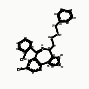 Clc1ccc2c(c1)C(c1ccccc1Cl)=NC(CSSCc1ccccc1)c1nncn1-2